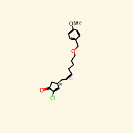 COc1ccc(COCCCC/C=C\C[C@H]2C=C(Cl)C(=O)C2)cc1